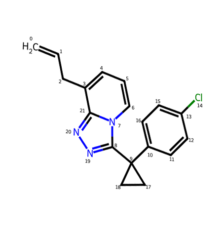 C=CCc1cccn2c(C3(c4ccc(Cl)cc4)CC3)nnc12